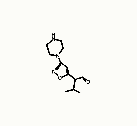 CC(C)C(C=O)c1cc(N2CCNCC2)no1